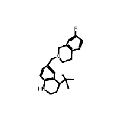 CC(C)(C)C1CCNc2ccc(CN3CCc4ccc(F)cc4C3)cc21